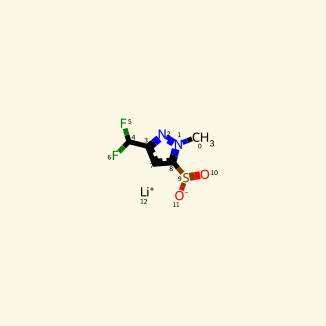 Cn1nc(C(F)F)cc1S(=O)[O-].[Li+]